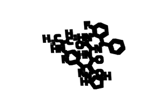 CC(C)Nc1ccc(-c2nn3c(c2C(=O)N[C@H]2N=C(c4ccccc4)c4cccc(F)c4NC2=O)O[C@@H]2CC[C@H]3C2)cn1